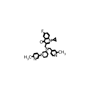 Cc1ccc(N2CCC[C@H](N(Cc3ccnc(C)c3)Cc3cn(C4CC4)c4ccc(F)cc4c3=O)C2)cn1